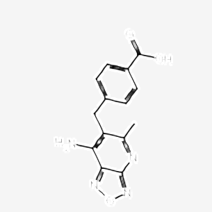 Cc1nc2nonc2c(N)c1Cc1ccc(C(=O)O)cc1